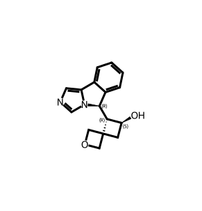 O[C@H]1CC2(COC2)[C@@H]1[C@@H]1c2ccccc2-c2cncn21